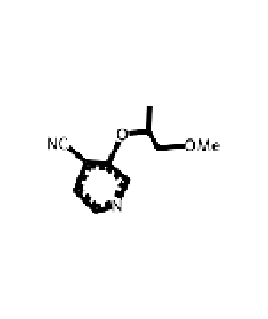 COCC(C)Oc1cnccc1C#N